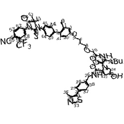 Cc1cc(OCCCCOCC(=O)N[C@H](C(=O)N2C[C@H](O)C[C@H]2C(=O)NCc2ccc(-c3scnc3C)cc2)C(C)(C)C)ccc1-c1ccc(N2C(=S)N(c3ccc(C#N)c(C(F)(F)F)c3)C(=O)C2(C)C)cc1